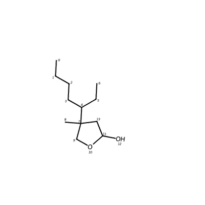 CCCCC(CC)C1(C)COC(O)C1